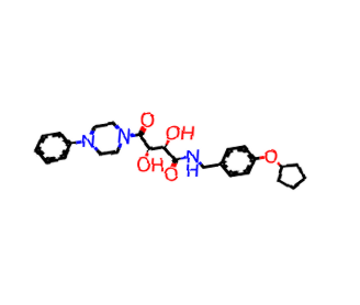 O=C(NCc1ccc(OC2CCCC2)cc1)[C@H](O)[C@@H](O)C(=O)N1CCN(c2ccccc2)CC1